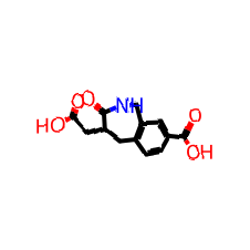 O=C(O)CC1Cc2ccc(C(=O)O)cc2CNC1=O